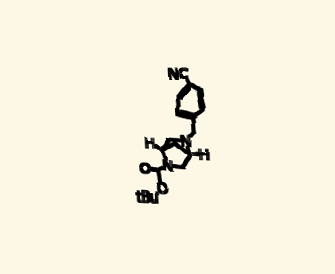 CC(C)(C)OC(=O)N1C[C@@H]2C[C@H]1CN2Cc1ccc(C#N)cc1